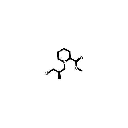 C=C(CCl)CN1CCCCC1C(=O)OC